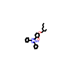 CCCCC(CC)COC1=CC(=O)C(=C2N=C(c3ccccc3)N=C(c3ccccc3)N2)C=C1